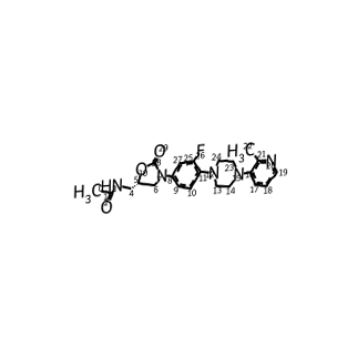 CC(=O)NC[C@H]1CN(c2ccc(N3CCN(c4cccnc4C)CC3)c(F)c2)C(=O)O1